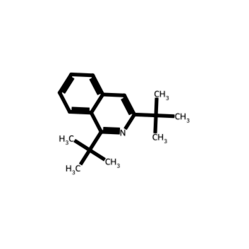 CC(C)(C)c1cc2ccccc2c(C(C)(C)C)n1